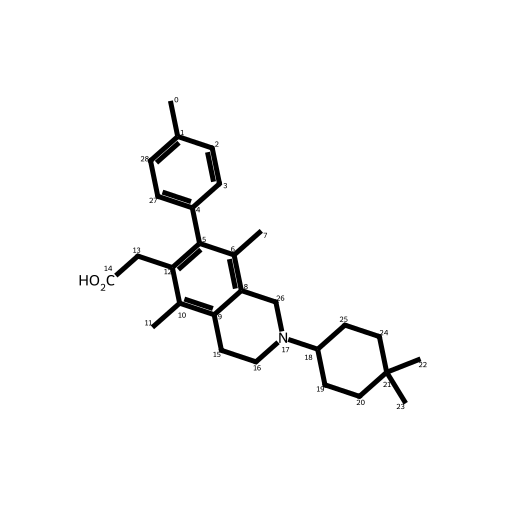 Cc1ccc(-c2c(C)c3c(c(C)c2CC(=O)O)CCN(C2CCC(C)(C)CC2)C3)cc1